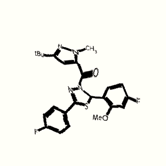 COc1cc(F)ccc1C1SC(c2ccc(F)cc2)=NN1C(=O)c1cc(C(C)(C)C)nn1C